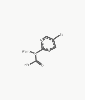 CCCC(=O)N(c1ncc(CC)cn1)C(C)CCC